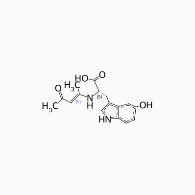 CC(=O)/C=C(\C)N[C@@H](Cc1c[nH]c2ccc(O)cc12)C(=O)O